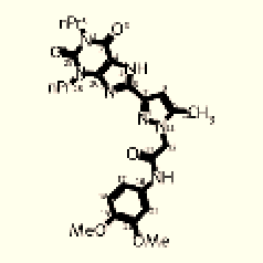 CCCn1c(=O)c2[nH]c(-c3cc(C)n(CC(=O)Nc4ccc(OC)c(OC)c4)n3)nc2n(CCC)c1=O